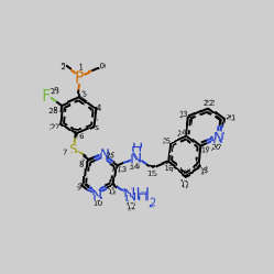 CP(C)c1ccc(Sc2cnc(N)c(NCc3ccc4ncccc4c3)n2)cc1F